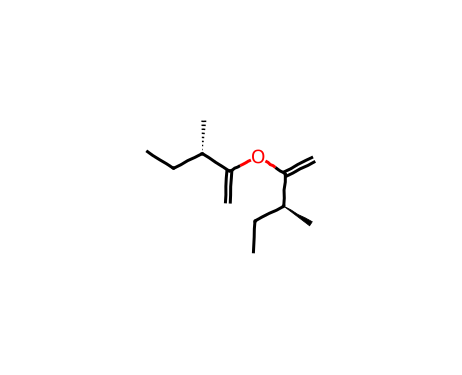 C=C(OC(=C)[C@@H](C)CC)[C@@H](C)CC